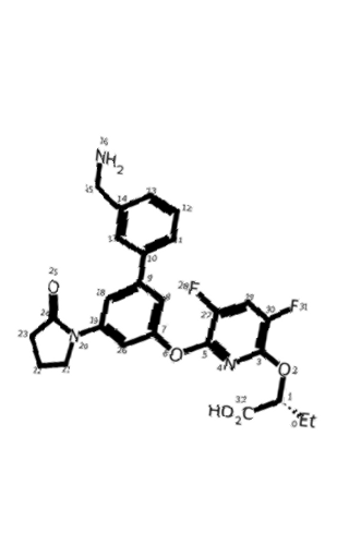 CC[C@@H](Oc1nc(Oc2cc(-c3cccc(CN)c3)cc(N3CCCC3=O)c2)c(F)cc1F)C(=O)O